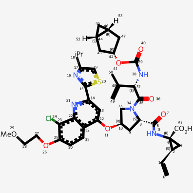 C=C[C@@H]1C[C@]1(NC(=O)[C@@H]1C[C@@H](Oc2cc(-c3nc(C(C)C)cs3)nc3c(Cl)c(OCCOC)ccc23)CN1C(=O)[C@@H](NC(=O)O[C@@H]1C[C@@H]2C[C@@H]2C1)C(=C)C)C(=O)O